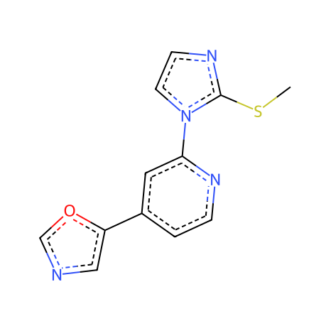 CSc1nccn1-c1cc(-c2cnco2)ccn1